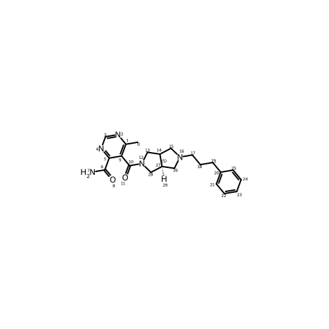 Cc1ncnc(C(N)=O)c1C(=O)N1CC2CN(CC[CH]c3ccccc3)C[C@H]2C1